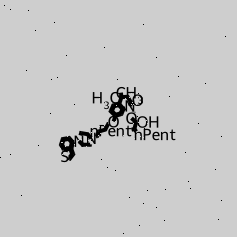 CCCCCC(CCCCC)C(O)OCN1C(=O)CC(C)(C)c2ccc(OCCCCN3CCN(c4cccc5sccc45)CC3)cc21